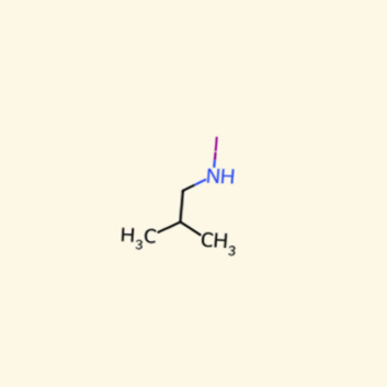 CC(C)CNI